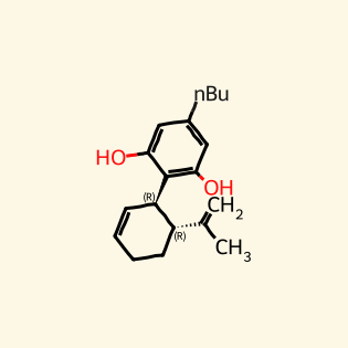 C=C(C)[C@@H]1CCC=C[C@H]1c1c(O)cc(CCCC)cc1O